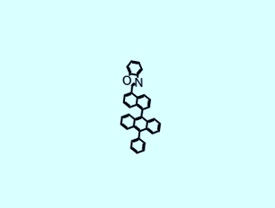 c1ccc(-c2c3ccccc3c(-c3cccc4c(-c5nc6ccccc6o5)cccc34)c3ccccc23)cc1